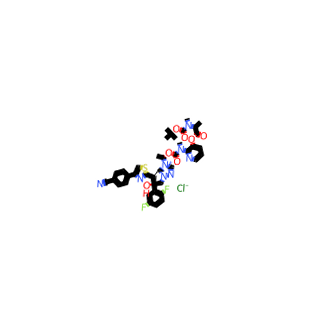 CC(C(=O)Oc1cccnc1N(C)C(=O)OC(C)[n+]1cnn(C[C@](O)(c2cc(F)ccc2F)[C@@H](C)c2nc(-c3ccc(C#N)cc3)cs2)c1)N(C)C(=O)OC(C)(C)C.[Cl-]